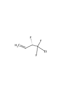 C=C[C@H](F)C(F)(F)CC